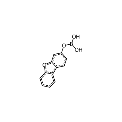 OB(O)Oc1ccc2c(c1)oc1ccccc12